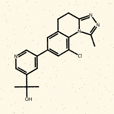 Cc1nnc2n1-c1c(Cl)cc(-c3cncc(C(C)(C)O)c3)cc1CC2